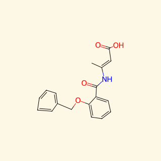 C/C(=C\C(=O)O)NC(=O)c1ccccc1OCc1ccccc1